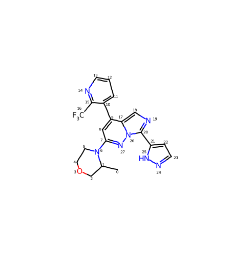 CC1COCCN1c1cc(-c2cccnc2C(F)(F)F)c2cnc(-c3ccn[nH]3)n2n1